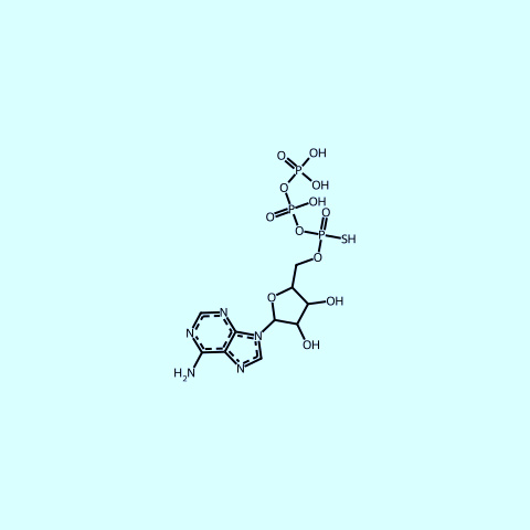 Nc1ncnc2c1ncn2C1OC(COP(=O)(S)OP(=O)(O)OP(=O)(O)O)C(O)C1O